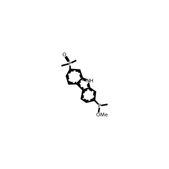 COP(C)c1ccc2c(c1)[nH]c1cc(P(C)(C)=O)ccc12